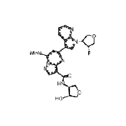 CNc1cc(-c2cn([C@@H]3COC[C@@H]3F)c3ncccc23)nc2c(C(=O)N[C@H]3COC[C@H]3O)cnn12